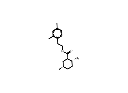 Cc1ccc(CCNC(=O)[C@@H]2C[C@H](C)CC[C@H]2C(C)C)c(C)c1